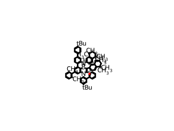 Cc1cccc(C)c1-c1cc2c3c(c1)N(c1ccc(C(C)(C)C)cc1-c1ccccc1)c1sc4cc5c(cc4c1B3N(c1ccc3c(c1)C(C)(C)CCC3(C)C)c1cc(-c3ccc(C(C)(C)C)cc3)ccc1-2)C(C)(C)CCC5(C)C